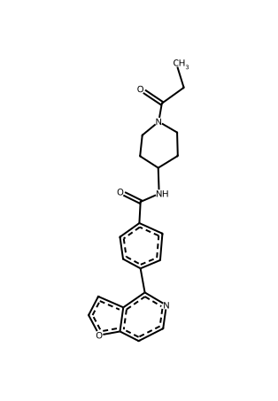 CCC(=O)N1CCC(NC(=O)c2ccc(-c3nccc4occc34)cc2)CC1